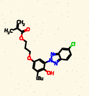 C=C(C)C(=O)OCCCOc1cc(-n2nc3ccc(Cl)cc3n2)c(O)c(C(C)(C)C)c1